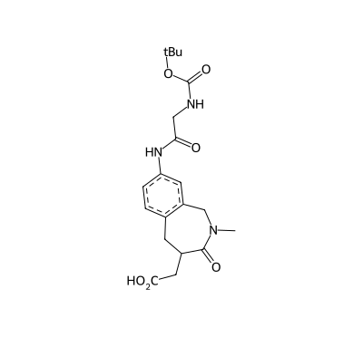 CN1Cc2cc(NC(=O)CNC(=O)OC(C)(C)C)ccc2CC(CC(=O)O)C1=O